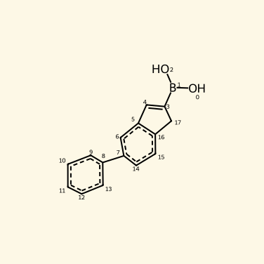 OB(O)C1=Cc2cc(-c3ccccc3)ccc2C1